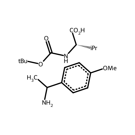 CC(C)[C@H](NC(=O)OC(C)(C)C)C(=O)O.COc1ccc(C(C)N)cc1